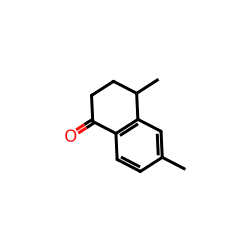 Cc1ccc2c(c1)C(C)CCC2=O